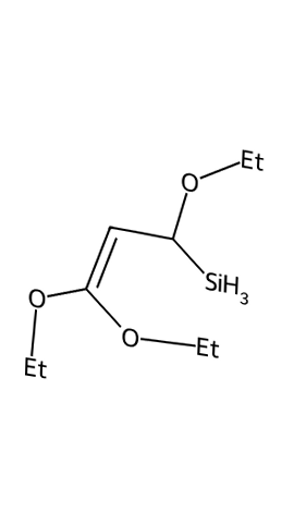 CCOC(=CC([SiH3])OCC)OCC